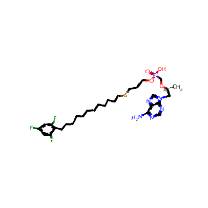 C[C@H](Cn1cnc2c(N)ncnc21)OCP(=O)(O)OCCCSCCCCCCCCCCCCc1c(F)cc(F)cc1F